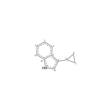 [c]1ccc2c(C3CC3)c[nH]c2c1